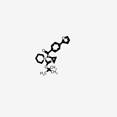 CC(C)(C)OC(=O)[N+]1(N(C(=O)c2ccc(-c3ccco3)cc2)C2CC2)CCCCC1